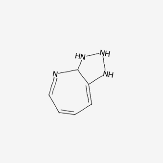 C1=CC=C2NNNC2N=C1